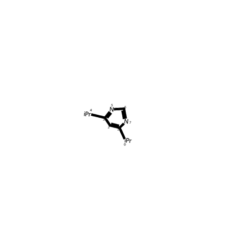 CC(C)c1cc(C(C)C)ncn1